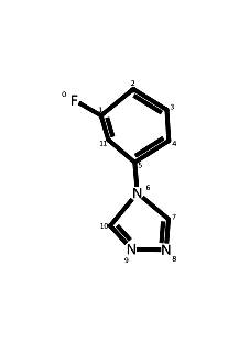 Fc1[c]ccc(-n2cnnc2)c1